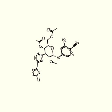 CO[C@@H]1[C@@H](n2cc(-c3nc(Cl)cs3)nn2)[C@@H](OC(C)=O)[C@@H](COC(C)=O)O[C@@H]1Sc1cnc(C#N)c(Br)c1